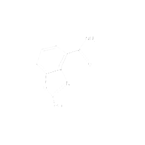 CC(C)(C)c1nc2c(C(N)=O)cccc2o1